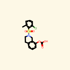 Cc1cccc(Cl)c1S(=O)(=O)N1CCc2cccc(OC(=O)O)c2C1